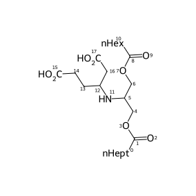 CCCCCCCC(=O)OCC(COC(=O)CCCCCC)NC(CCC(=O)O)CC(=O)O